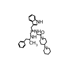 CC(Cc1ccccc1)NC[C@@H](Cc1c[nH]c2ccccc12)NCC(=O)N1CCC(N2CCCCC2)CC1